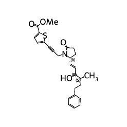 COC(=O)c1ccc(C#CCN2C(=O)CC[C@@H]2C=C[C@H](O)[C@@H](C)CCc2ccccc2)s1